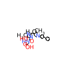 Cc1nc(CC2CCN(c3ccc(-c4ccccc4)cc3)CC2(C)C)nc(C(=O)NCC(=O)O)c1O